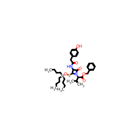 C=C(C)C(C(=O)OCc1ccccc1)N1C(=O)C(NC(=O)Cc2ccc(O)cc2)C1SO[Si](CCCC)(CCCC)CCCC